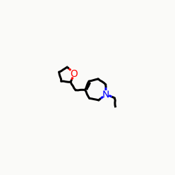 CCN1CCC=C(CC2CCCO2)CC1